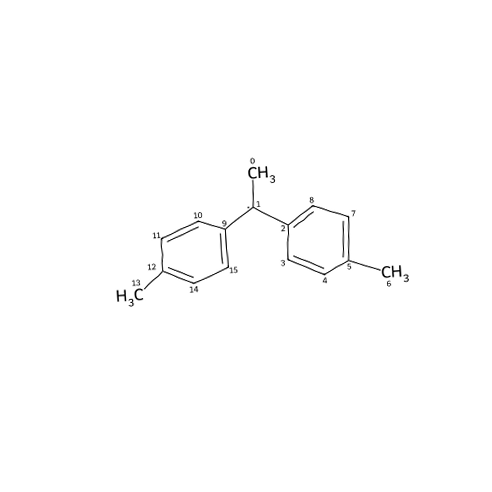 C[C](c1ccc(C)cc1)c1ccc(C)cc1